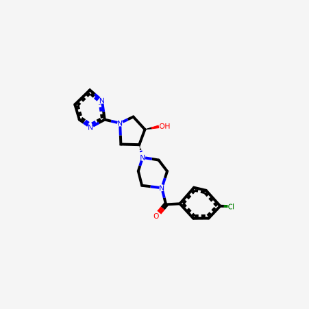 O=C(c1ccc(Cl)cc1)N1CCN([C@@H]2CN(c3ncccn3)C[C@H]2O)CC1